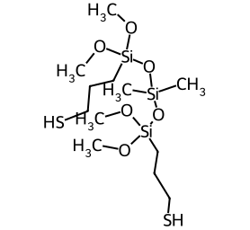 CO[Si](CCCS)(OC)O[Si](C)(C)O[Si](CCCS)(OC)OC